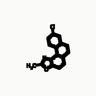 Cc1nc2c(ccc3ccc4cc(Cl)ccc4c32)o1